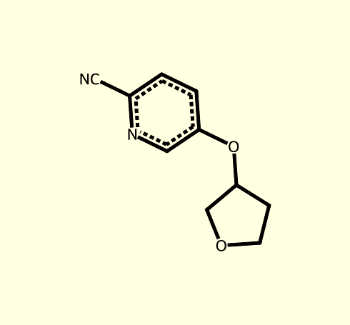 N#Cc1ccc(OC2CCOC2)cn1